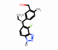 CCn1nnc2c(F)c([C@@H](CC(=O)O)c3ccc(C)c(CO)c3)ccc21